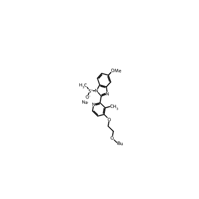 CCC(C)OCCOc1ccnc(-c2nc3cc(OC)ccc3n2[S+](C)[O-])c1C.[Na]